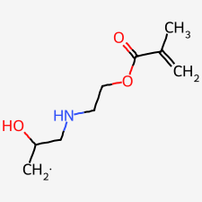 [CH2]C(O)CNCCOC(=O)C(=C)C